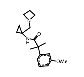 COc1cccc(C(C)(C)C(=O)NC2(CN3CCC3)CC2)c1